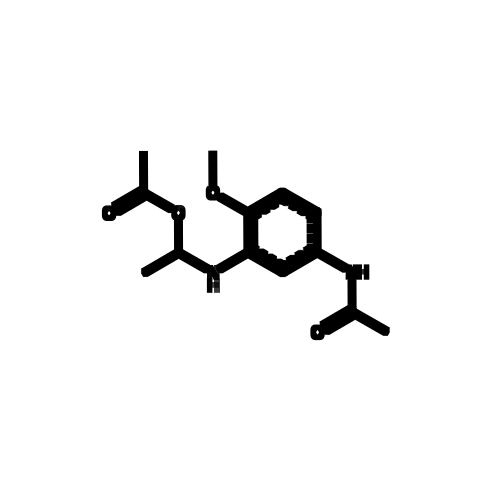 COc1ccc(NC(C)=O)cc1NC(C)OC(C)=O